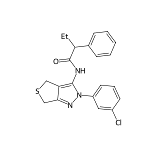 CCC(C(=O)Nc1c2c(nn1-c1cccc(Cl)c1)CSC2)c1ccccc1